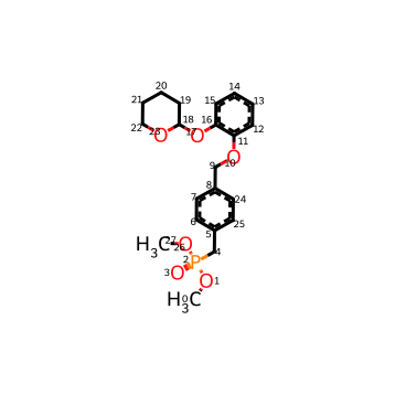 COP(=O)(Cc1ccc(COc2ccccc2OC2CCCCO2)cc1)OC